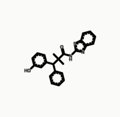 CC(C)(C(=O)Nc1nc2ccccc2s1)C(c1ccccc1)c1cccc(O)c1